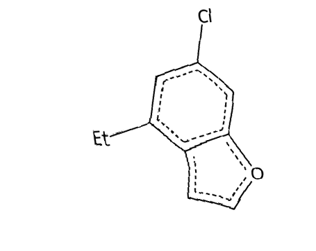 CCc1cc(Cl)cc2occc12